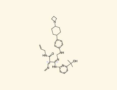 C=CCNC(=O)C(=C/N=C)/C(=N\CNc1ccc(C2CCC(N3CCC3)CC2)cc1)Nc1cccc(C(C)(C)O)n1